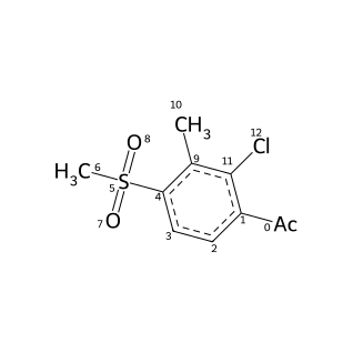 CC(=O)c1ccc(S(C)(=O)=O)c(C)c1Cl